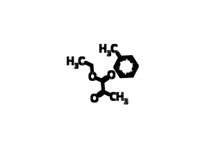 CCOC(=O)C(C)=O.Cc1ccccc1